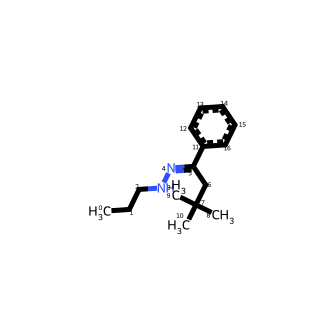 CCCN/N=C(\CC(C)(C)C)c1ccccc1